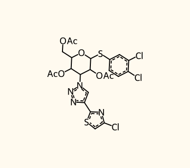 CC(=O)OCC1OC(Sc2ccc(Cl)c(Cl)c2)C(OC(C)=O)C(n2cc(-c3nc(Cl)cs3)nn2)C1OC(C)=O